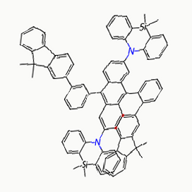 CC1(C)c2ccccc2-c2ccc(-c3cccc(-c4c5cc(N6c7ccccc7[Si](C)(C)c7ccccc76)ccc5c(-c5ccccc5-c5ccc6c(c5)C(C)(C)c5ccccc5-6)c5cc(N6c7ccccc7[Si](C)(C)c7ccccc76)ccc45)c3)cc21